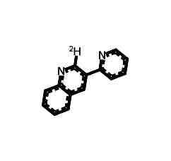 [2H]c1nc2ccccc2cc1-c1ccccn1